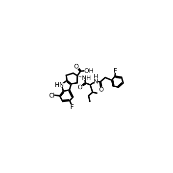 CCC(C)C(NC(=O)Cc1ccccc1F)C(=O)N[C@@]1(C(=O)O)CCc2[nH]c3c(Cl)cc(F)cc3c2C1